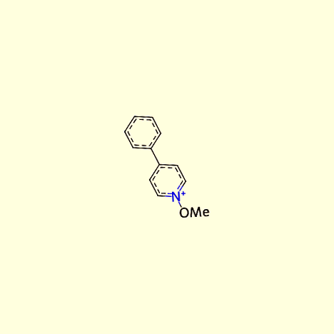 CO[n+]1ccc(-c2ccccc2)cc1